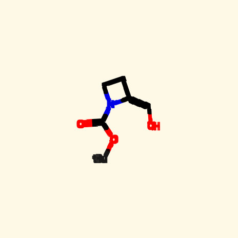 CC(C)(C)OC(=O)N1CCC1=CO